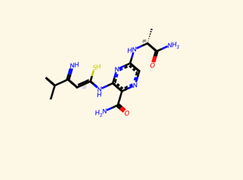 CC(C)C(=N)/C=C(\S)Nc1nc(N[C@H](C)C(N)=O)cnc1C(N)=O